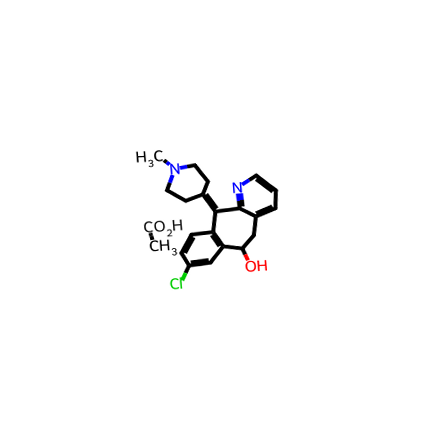 CC(=O)O.CN1CCC(=C2c3ccc(Cl)cc3C(O)Cc3cccnc32)CC1